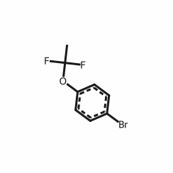 CC(F)(F)Oc1ccc(Br)cc1